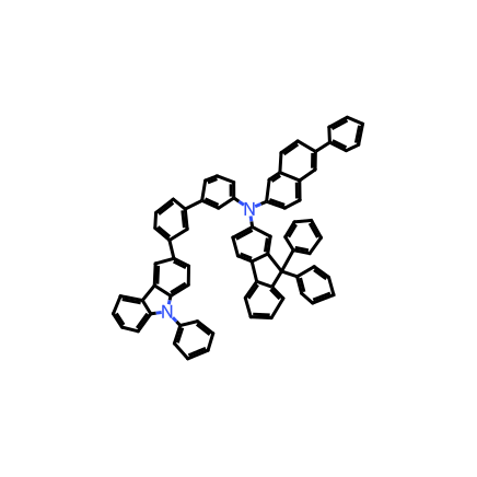 c1ccc(-c2ccc3cc(N(c4cccc(-c5cccc(-c6ccc7c(c6)c6ccccc6n7-c6ccccc6)c5)c4)c4ccc5c(c4)C(c4ccccc4)(c4ccccc4)c4ccccc4-5)ccc3c2)cc1